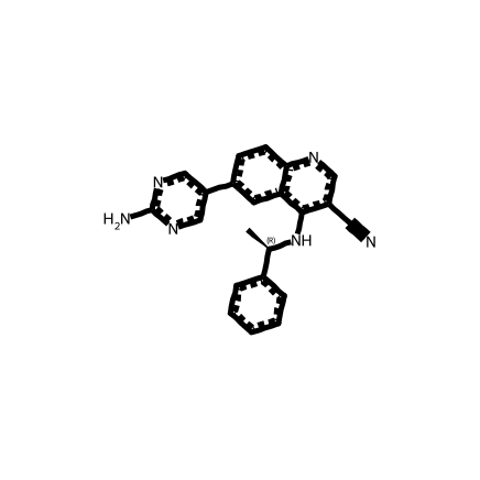 C[C@@H](Nc1c(C#N)cnc2ccc(-c3cnc(N)nc3)cc12)c1ccccc1